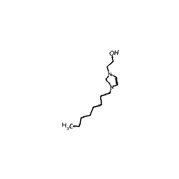 CCCCCCCCN1C=CN(CCO)C1